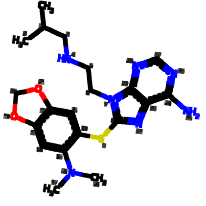 CC(C)CNCCn1c(Sc2cc3c(cc2N(C)C)OCO3)nc2c(N)ncnc21